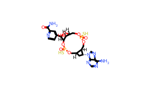 NC(=O)c1cc(C2O[C@@H]3COP(=O)(S)OC[C@@H]4[C@@H](COP(=O)(S)O[C@@H]2[C@@H]3O)C[C@H]4n2cnc3c(N)ncnc32)ccn1